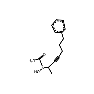 CC(C#CCCCc1ccccc1)N(O)C(N)=O